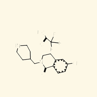 O=C(O)C(F)(F)F.O=C1c2ccc(Cl)cc2CCN1CC1CCNCC1